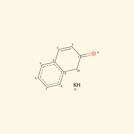 O=C1C=Cc2ccccc2C1.[KH]